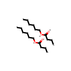 CCCCCCOC(=O)CCC.CCCCCCOC(=O)CCC